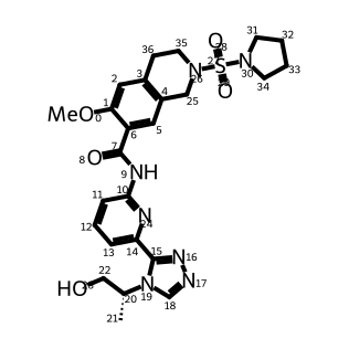 COc1cc2c(cc1C(=O)Nc1cccc(-c3nncn3[C@H](C)CO)n1)CN(S(=O)(=O)N1CCCC1)CC2